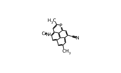 [C-]#[N+]c1cc2cc(C)cc3c(C#N)cc4pc(C)cc1c4c23